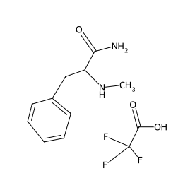 CNC(Cc1ccccc1)C(N)=O.O=C(O)C(F)(F)F